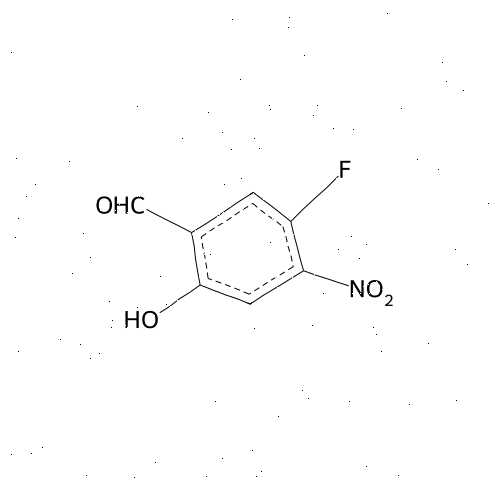 O=Cc1cc(F)c([N+](=O)[O-])cc1O